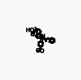 COC(=O)C1CCC(n2c(C(C)Cc3ccccc3)nc3c4c(ccc32)N(C(=O)O)[C@@H](C)CC4)CC1